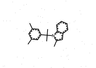 Cc1cc(C)cc(C(C)(C)n2c(C)cc3ccccc32)c1